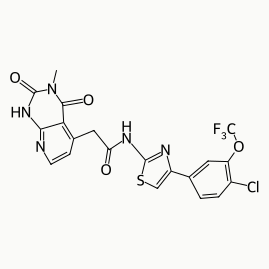 Cn1c(=O)[nH]c2nccc(CC(=O)Nc3nc(-c4ccc(Cl)c(OC(F)(F)F)c4)cs3)c2c1=O